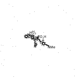 CNCC#Cc1ccc(OCCCc2sc(N(CCCN=[N+]=[N-])c3cc(C)c(Nc4nc5ccccc5s4)nn3)nc2C(=O)O)c(F)c1